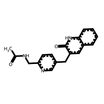 CC(=O)NCc1ccc(Cc2cc3ccccc3[nH]c2=O)cn1